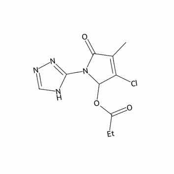 CCC(=O)OC1C(Cl)=C(C)C(=O)N1c1nnc[nH]1